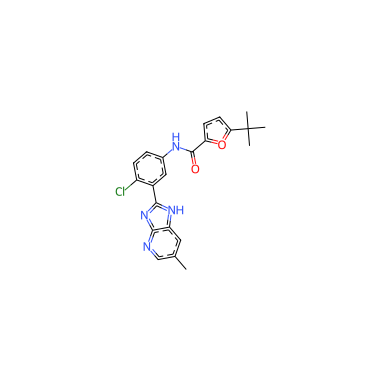 Cc1cnc2nc(-c3cc(NC(=O)c4ccc(C(C)(C)C)o4)ccc3Cl)[nH]c2c1